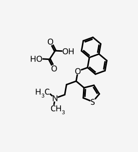 CN(C)CCC(Oc1cccc2ccccc12)c1ccsc1.O=C(O)C(=O)O